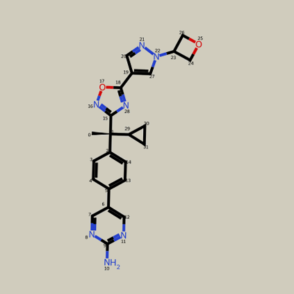 C[C@@](c1ccc(-c2cnc(N)nc2)cc1)(c1noc(-c2cnn(C3COC3)c2)n1)C1CC1